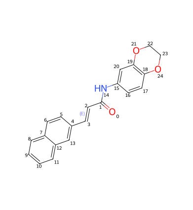 O=C(/C=C/c1ccc2ccccc2c1)Nc1ccc2c(c1)OCCO2